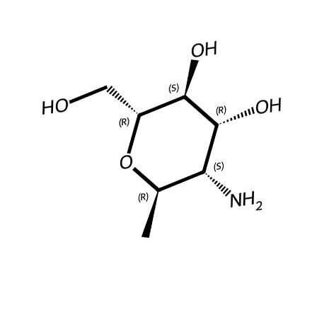 C[C@H]1O[C@H](CO)[C@@H](O)[C@H](O)[C@@H]1N